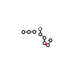 C1=Cc2c(n(-c3ccc(-c4ccc(-c5ccccc5)cc4)cc3)c3ccc(-c4ccc5c(c4)c4ccccc4n5-c4ccccc4-c4ccccc4)cc23)CC1